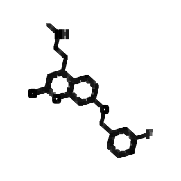 CNCCc1cc(=O)oc2cc(OCc3cccc(F)c3)ccc12